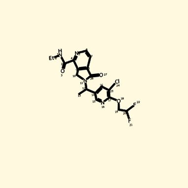 CCNC(=O)c1nccc2c1CN(C(C)c1cnc(OCC(F)F)c(Cl)c1)C2=O